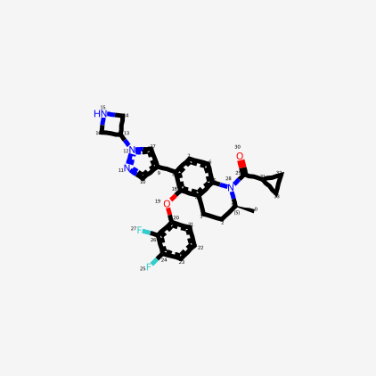 C[C@H]1CCc2c(ccc(-c3cnn(C4CNC4)c3)c2Oc2cccc(F)c2F)N1C(=O)C1CC1